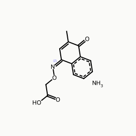 CC1=C/C(=N/OCC(=O)O)c2ccccc2C1=O.N